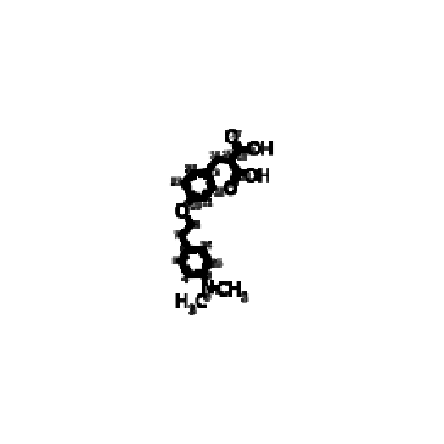 CN(C)c1ccc(CCOc2ccc(CC(C(=O)O)C(=O)O)cc2)cc1